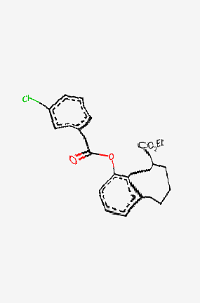 CCOC(=O)C1CCCc2cccc(OC(=O)c3cccc(Cl)c3)c21